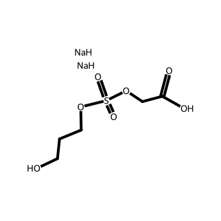 O=C(O)COS(=O)(=O)OCCCO.[NaH].[NaH]